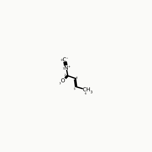 [C-]#[N+]C(=O)C=CC